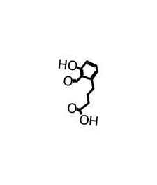 O=Cc1c(O)cccc1CCCC(=O)O